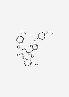 CCc1cccc(CC)c1O/C(=C1\C=C(F)C(Oc2ccc(C(F)(F)F)cc2)=N1)c1ccc(Oc2ccc(C(F)(F)F)cc2)[nH]1